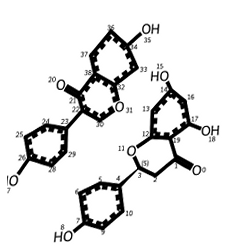 O=C1C[C@@H](c2ccc(O)cc2)Oc2cc(O)cc(O)c21.O=c1c(-c2ccc(O)cc2)coc2cc(O)ccc12